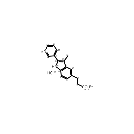 CCOC(=O)CCc1ccc2[nH]c(-c3cccnc3)c(C)c2c1.Cl